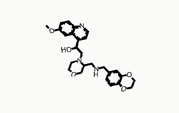 COc1ccc2nccc(C(O)CN3CCOCC3CNCc3ccc4c(c3)OCCO4)c2c1